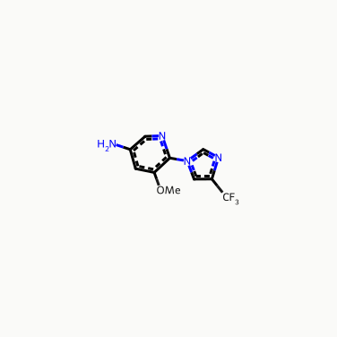 COc1cc(N)cnc1-n1cnc(C(F)(F)F)c1